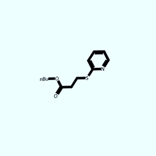 CCCCOC(=O)CCSc1ccccn1